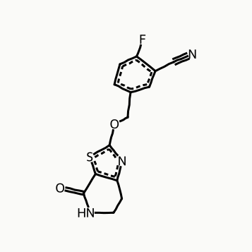 N#Cc1cc(COc2nc3c(s2)C(=O)NCC3)ccc1F